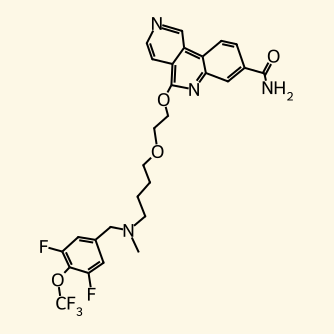 CN(CCCCOCCOc1nc2cc(C(N)=O)ccc2c2cnccc12)Cc1cc(F)c(OC(F)(F)F)c(F)c1